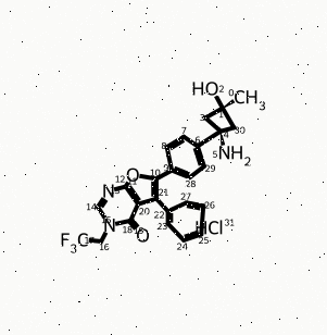 C[C@]1(O)C[C@@](N)(c2ccc(-c3oc4ncn(CC(F)(F)F)c(=O)c4c3-c3ccccc3)cc2)C1.Cl